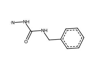 [N]NC(=O)NCc1ccccc1